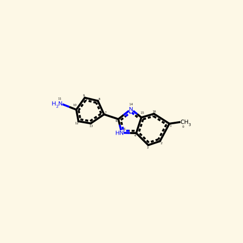 Cc1ccc2[nH]c(-c3ccc(N)cc3)nc2c1